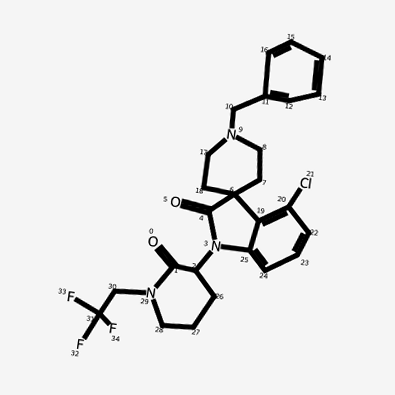 O=C1C(N2C(=O)C3(CCN(Cc4ccccc4)CC3)c3c(Cl)cccc32)CCCN1CC(F)(F)F